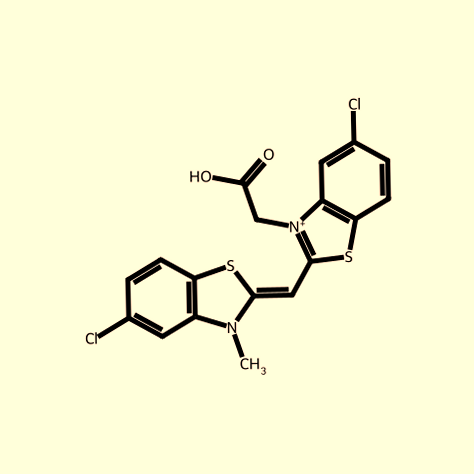 CN1/C(=C/c2sc3ccc(Cl)cc3[n+]2CC(=O)O)Sc2ccc(Cl)cc21